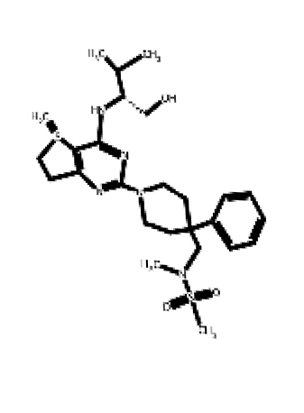 C=S1CCc2nc(N3CCC(CN(C)S(C)(=O)=O)(c4ccccc4)CC3)nc(N[C@@H](CO)C(C)C)c21